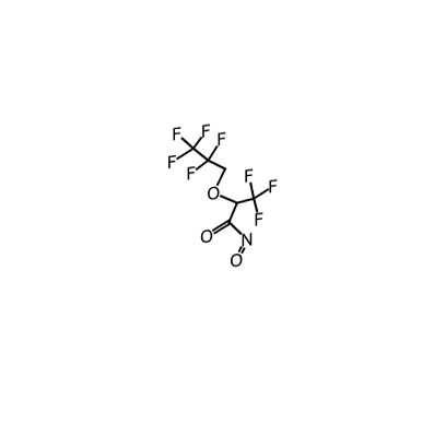 O=NC(=O)C(OCC(F)(F)C(F)(F)F)C(F)(F)F